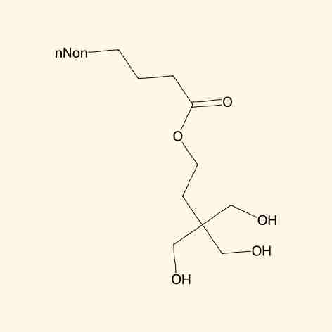 CCCCCCCCCCCCC(=O)OCCC(CO)(CO)CO